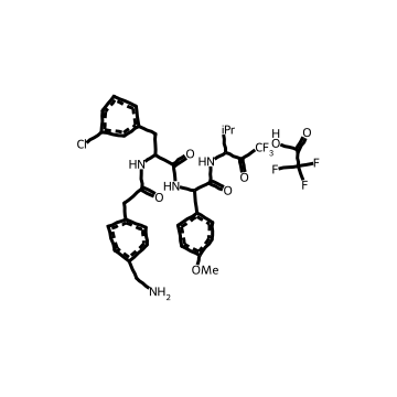 COc1ccc(C(NC(=O)C(Cc2cccc(Cl)c2)NC(=O)Cc2ccc(CN)cc2)C(=O)NC(C(=O)C(F)(F)F)C(C)C)cc1.O=C(O)C(F)(F)F